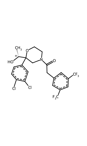 C[C@@H](O)C1(c2ccc(Cl)c(Cl)c2)CN(C(=O)Cc2cc(C(F)(F)F)cc(C(F)(F)F)c2)CCO1